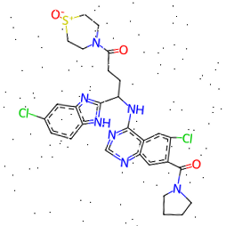 O=C(CCC(Nc1ncnc2cc(C(=O)N3CCCC3)c(Cl)cc12)c1nc2cc(Cl)ccc2[nH]1)N1CC[S+]([O-])CC1